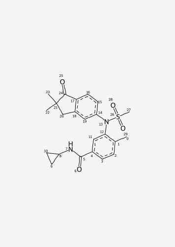 Cc1ccc(C(=O)NC2CC2)cc1N(c1ccc2c(c1)CC(C)(C)C2=O)S(C)(=O)=O